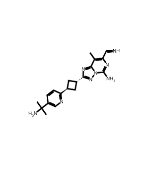 Cc1c(C=N)nc(N)n2nc([C@H]3C[C@H](c4ccc(C(C)(C)N)cn4)C3)nc12